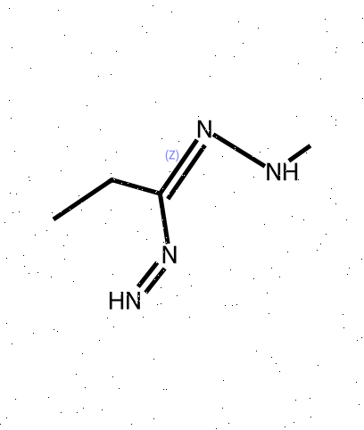 CC/C(N=N)=N/NC